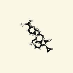 CC(C)CCn1c(Cn2c(=O)n(C3CC3)c3ccncc32)nc2nc(C(=N)N)ccc21